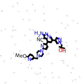 COc1ccc(CN2CCN(c3ccc(-c4cc(-c5cnn(CC(C)(C)O)c5)cn5nc(N)c(C#N)c45)cn3)CC2)cn1